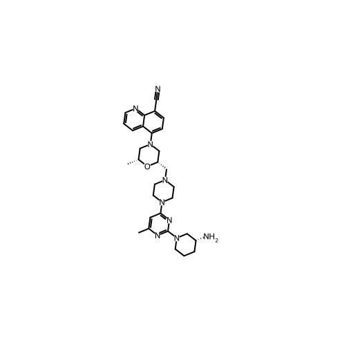 Cc1cc(N2CCN(C[C@H]3CN(c4ccc(C#N)c5ncccc45)C[C@@H](C)O3)CC2)nc(N2CCC[C@@H](N)C2)n1